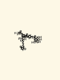 CC(C)C(NC(=O)CCCCCN1C(=O)CCC1=O)C(=O)NC(CCCNC(N)=O)C(=O)Nc1ccc(COC(=O)N2C[C@@H](O)[C@@H](O)[C@H](O)[C@H]2CO)cc1